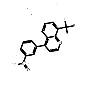 O=[N+]([O-])c1cccc(-c2[c]cnc3c(C(F)(F)F)cccc23)c1